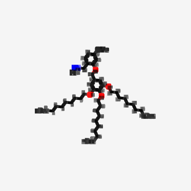 CCCCCCCCCCCCCCCCCCOc1cc(COc2cc(OC)ccc2CNCC)cc(OCCCCCCCCCCCCCCCCCC)c1OCCCCCCCCCCCCCCCCCC